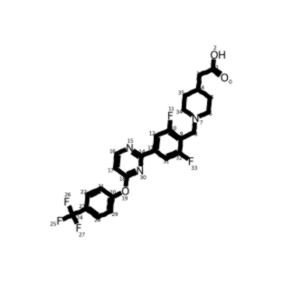 O=C(O)CC1CCN(Cc2c(F)cc(-c3nccc(Oc4ccc(C(F)(F)F)cc4)n3)cc2F)CC1